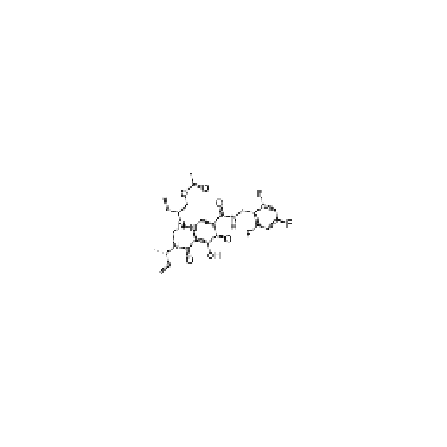 C=C[C@H](C)N1CN([C@@H](C=C)COC(C)=O)n2cc(C(=O)NCc3c(F)cc(F)cc3F)c(=O)c(O)c2C1=O